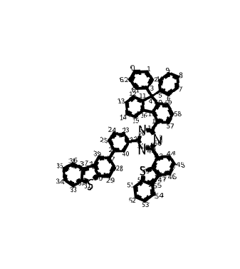 c1ccc(C2(c3ccccc3)c3ccccc3-c3c(-c4nc(-c5cccc(-c6ccc7sc8ccccc8c7c6)c5)nc(-c5cccc6c5sc5ccccc56)n4)cccc32)cc1